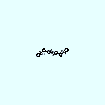 c1cc(-c2ccc3c(c2)sc2c4ccc(-c5cccc(-c6nc7ccccc7[nH]6)c5)cc4sc32)cc(-c2nc3ccccc3[nH]2)c1